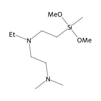 CCN(CCN(C)C)CC[Si](C)(OC)OC